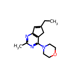 CCC1=Cc2nc(C)nc(N3CCOCC3)c2C1